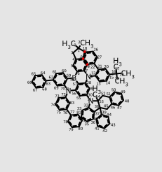 CC1(C)Cc2cc3c(cc2C1)N(c1ccc(C(C)(C)C)cc1-c1ccccc1)c1cc(N2c4ccccc4C4(c5ccccc5)Cc5ccccc5CC24C)cc2c1B3c1ccc(-c3ccccc3)cc1N2c1cccc(-c2ccccc2)c1